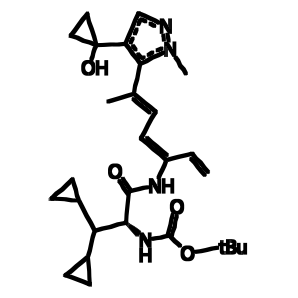 C=C/C(=C\C=C(/C)c1c(C2(O)CC2)cnn1C)NC(=O)[C@@H](NC(=O)OC(C)(C)C)C(C1CC1)C1CC1